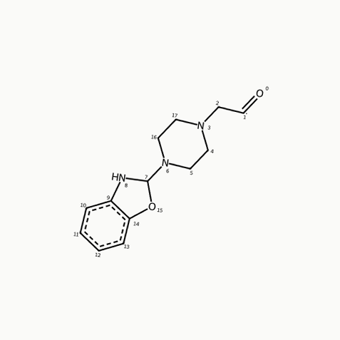 O=[C]CN1CCN(C2Nc3ccccc3O2)CC1